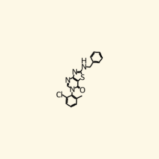 Cc1cccc(Cl)c1-n1cnc2nc(NCc3ccccc3)sc2c1=O